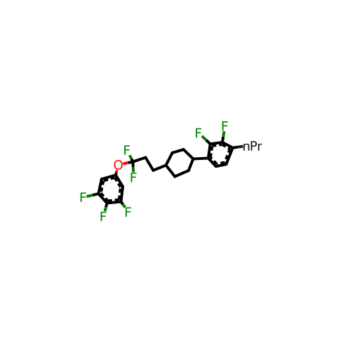 CCCc1ccc(C2CCC(CCC(F)(F)Oc3cc(F)c(F)c(F)c3)CC2)c(F)c1F